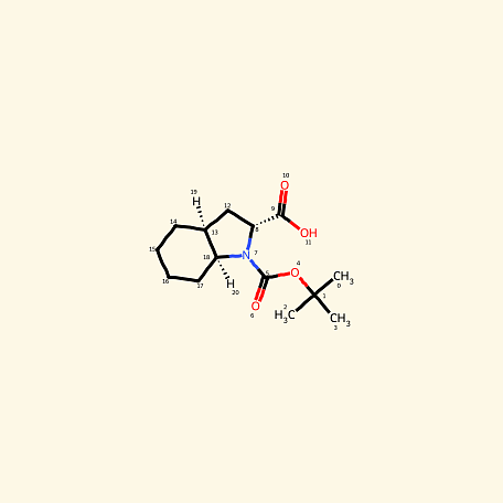 CC(C)(C)OC(=O)N1[C@@H](C(=O)O)C[C@@H]2CCCC[C@@H]21